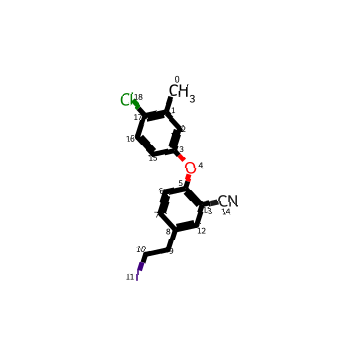 Cc1cc(Oc2ccc(CCI)cc2C#N)ccc1Cl